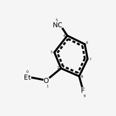 CCOc1cc(C#N)ccc1F